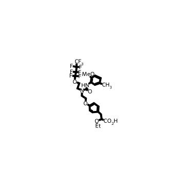 CCOC(Cc1ccc(OCCN(CCOC(F)(F)C(F)(F)C(F)(F)C(F)(F)F)C(=O)Nc2cc(C)ccc2OC)cc1)C(=O)O